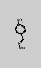 CCCCN=Cc1ccc([N+](=O)[O-])cc1